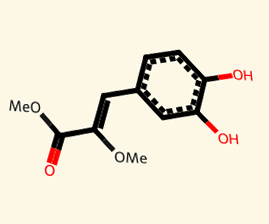 [CH2]OC(=O)/C(=C/c1ccc(O)c(O)c1)OC